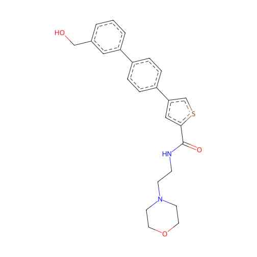 O=C(NCCN1CCOCC1)c1cc(-c2ccc(-c3cccc(CO)c3)cc2)cs1